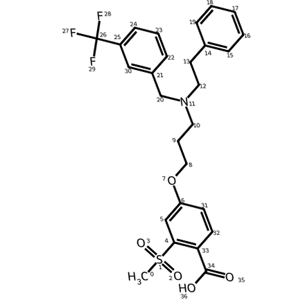 CS(=O)(=O)c1cc(OCCCN(CCc2ccccc2)Cc2cccc(C(F)(F)F)c2)ccc1C(=O)O